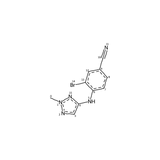 Cn1ncc(Nc2ccc(C#N)cc2Br)n1